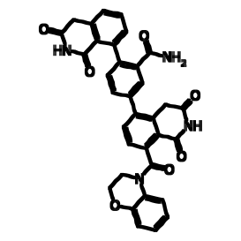 NC(=O)c1cc(-c2ccc(C(=O)N3CCOc4ccccc43)c3c2CC(=O)NC3=O)ccc1-c1cccc2c1C(=O)NC(=O)C2